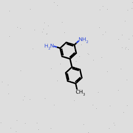 Cc1ccc(-c2cc(N)cc(N)c2)cc1